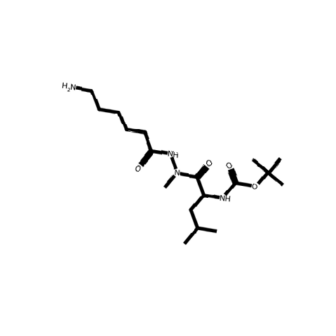 CC(C)CC(NC(=O)OC(C)(C)C)C(=O)N(C)NC(=O)CCCCCN